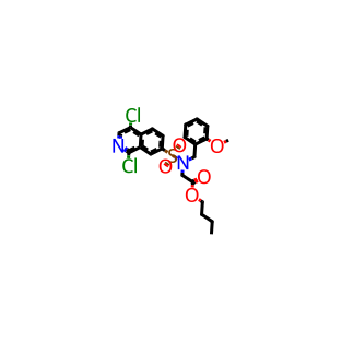 CCCCOC(=O)CN(Cc1ccccc1OC)S(=O)(=O)c1ccc2c(Cl)cnc(Cl)c2c1